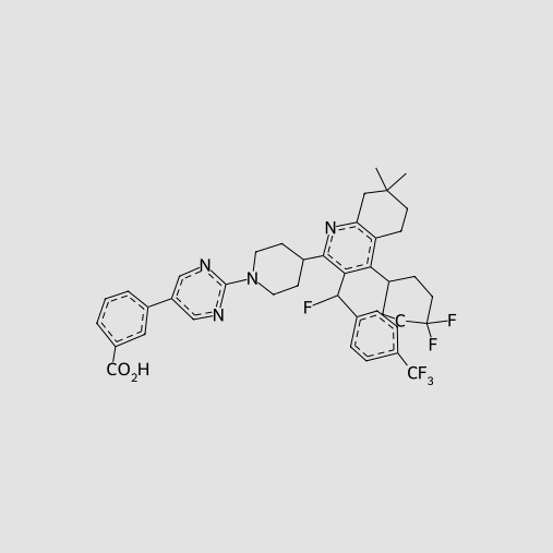 CC1(C)CCc2c(nc(C3CCN(c4ncc(-c5cccc(C(=O)O)c5)cn4)CC3)c(C(F)c3ccc(C(F)(F)F)cc3)c2C2CCC(F)(F)CC2)C1